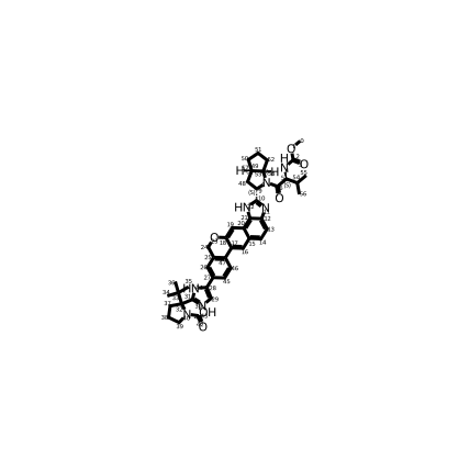 COC(=O)N[C@H](C(=O)N1[C@H](c2nc3ccc4cc5c(cc4c3[nH]2)OCc2cc(-c3cnc(C4(C(C)(C)C)CCCN4C(=O)O)[nH]3)ccc2-5)C[C@@H]2CCC[C@@H]21)C(C)C